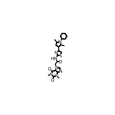 Cc1cc(-c2csc(NC(=O)Cn3cnc4c3c(=O)n(C)c(=O)n4C)n2)c(C)n1-c1ccccc1